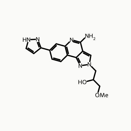 COCC(O)Cn1cc2c(N)nc3cc(-c4cc[nH]n4)ccc3c2n1